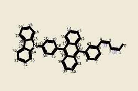 C/C=C\C=C/c1cccc(-c2c3ccccc3c(-c3ccc(-n4c5ccccc5c5ccccc54)cc3)c3ccccc23)c1